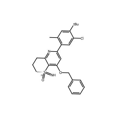 Cc1cc(C(C)(C)C)c(Cl)cc1-c1cc(OCc2ccccc2)c2c(n1)CCC[S@]2(=N)=O